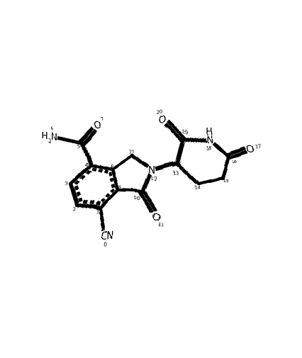 N#Cc1ccc(C(N)=O)c2c1C(=O)N(C1CCC(=O)NC1=O)C2